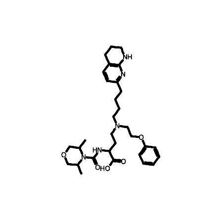 CC1COCC(C)N1C(=O)NC(CCN(CCCCc1ccc2c(n1)NCCC2)CCOc1ccccc1)C(=O)O